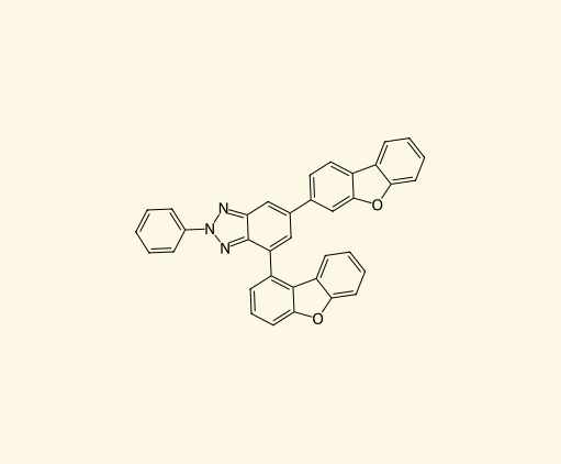 c1ccc(-n2nc3cc(-c4ccc5c(c4)oc4ccccc45)cc(-c4cccc5oc6ccccc6c45)c3n2)cc1